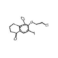 O=C1CCCc2c1cc(I)c(OCCCl)c2Cl